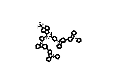 FC(F)(F)c1ccc2c3c(cccc13)-c1nc(-c3ccc(-n4c5ccccc5c5cc(-c6ccc7c(c6)c6ccccc6n7-c6ccccc6)ccc54)cc3)nc(-c3cccc(-n4c5ccccc5c5cc(-c6ccc7c(c6)c6ccccc6n7-c6ccccc6)ccc54)c3)c1-2